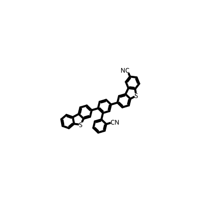 N#Cc1ccc2sc3ccc(-c4ccc(-c5ccc6c(c5)sc5ccccc56)c(-c5ccccc5C#N)c4)cc3c2c1